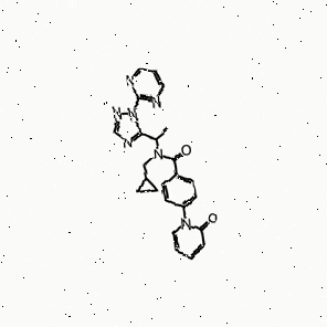 CC(c1ncnn1-c1ncccn1)N(CC1CC1)C(=O)c1ccc(-n2ccccc2=O)cc1